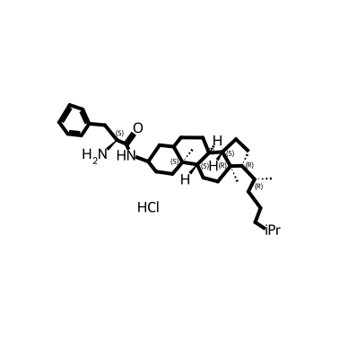 CC(C)CCC[C@@H](C)[C@H]1CC[C@H]2[C@@H]3CCC4CC(NC(=O)[C@@H](N)Cc5ccccc5)CC[C@]4(C)[C@H]3CC[C@]12C.Cl